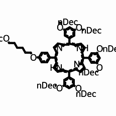 CCCCCCCCCCOc1cc(OCCCCCCCCCC)cc(-c2c3nc(c(-c4cc(OCCCCCCCCCC)cc(OCCCCCCCCCC)c4)c4ccc([nH]4)c(-c4cc(OCCCCCCCCCC)cc(OCCCCCCCCCC)c4)c4nc(c(-c5ccc(OCCCCCCOC(C)=O)cc5)c5ccc2[nH]5)C=C4)C=C3)c1